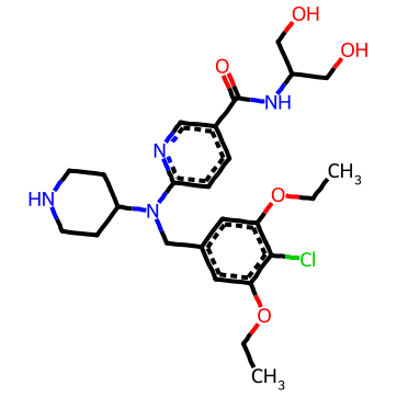 CCOc1cc(CN(c2ccc(C(=O)NC(CO)CO)cn2)C2CCNCC2)cc(OCC)c1Cl